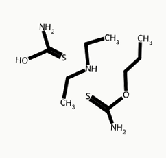 CCCOC(N)=S.CCNCC.NC(O)=S